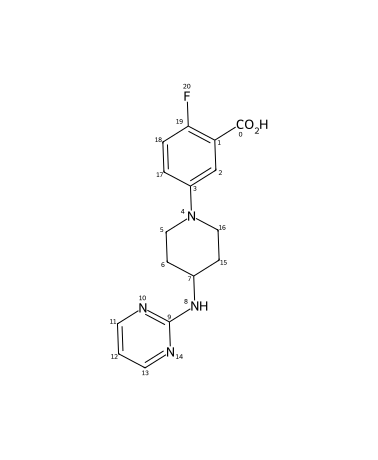 O=C(O)c1cc(N2CCC(Nc3ncccn3)CC2)ccc1F